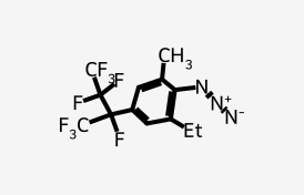 CCc1cc(C(F)(C(F)(F)F)C(F)(F)C(F)(F)F)cc(C)c1N=[N+]=[N-]